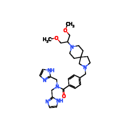 COCC(COC)N1CCC2(CCN(Cc3ccc(C(=O)N(Cc4ncc[nH]4)Cc4ncc[nH]4)cc3)C2)CC1